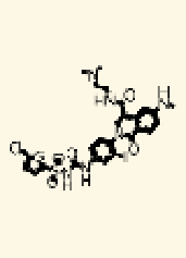 CNc1ccc2c(=O)n(-c3ccc(NC(=O)NS(=O)(=O)c4ccc(Cl)s4)cc3I)cc(C(=O)NCCN(C)C)c2c1